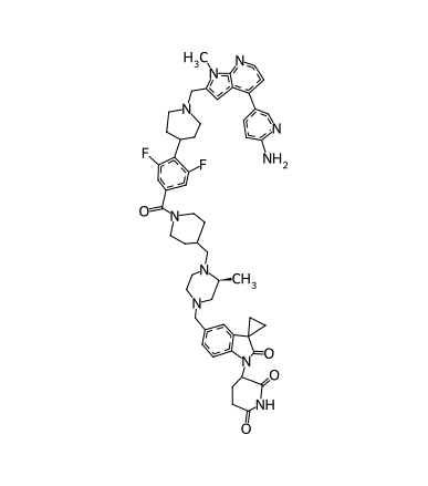 C[C@H]1CN(Cc2ccc3c(c2)C2(CC2)C(=O)N3C2CCC(=O)NC2=O)CCN1CC1CCN(C(=O)c2cc(F)c(C3CCN(Cc4cc5c(-c6ccc(N)nc6)ccnc5n4C)CC3)c(F)c2)CC1